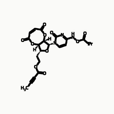 CC#CC(=O)OCC[C@H]1O[C@@H](n2ccc(NOC(=O)C(C)C)nc2=O)[C@@H]2OC(=O)/C=C\C(=O)O[C@@H]21